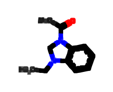 COC(=O)N1CN(CC(=O)O)c2ccccc21